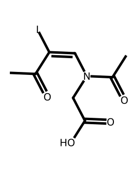 CC(=O)/C(I)=C\N(CC(=O)O)C(C)=O